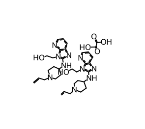 C=CCN1CCC(Nc2nc3cccnc3n2CCO)CC1.C=CCN1CCC(Nc2nc3cccnc3n2CCO)CC1.O=C(O)C(=O)O